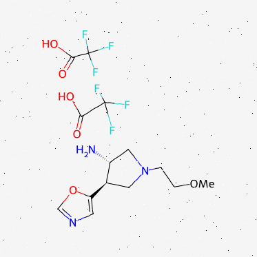 COCCN1C[C@@H](N)[C@H](c2cnco2)C1.O=C(O)C(F)(F)F.O=C(O)C(F)(F)F